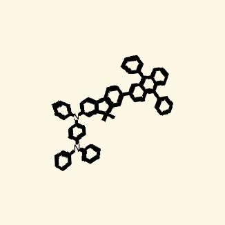 CC1(C)c2cc(-c3ccc4c(-c5ccccc5)c5ccccc5c(-c5ccccc5)c4c3)ccc2-c2ccc(N(c3ccccc3)c3ccc(N(c4ccccc4)c4ccccc4)cc3)cc21